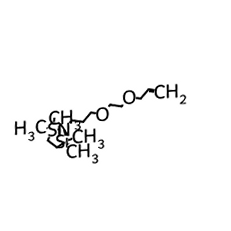 C=CCOCCOCCCN1[Si](C)(C)CC[Si]1(C)C